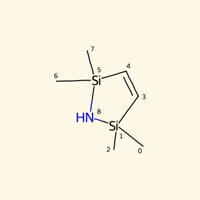 C[Si]1(C)C=C[Si](C)(C)N1